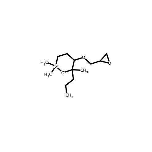 CCCC1(C)O[Si](C)(C)CCC1OCC1CO1